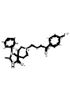 CC1NC(=O)C2(CCN(CCCC(=O)c3ccc(F)cc3)CC2)N1c1ccccc1